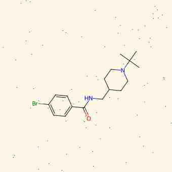 CC(C)(C)N1CCC(CNC(=O)c2ccc(Br)cc2)CC1